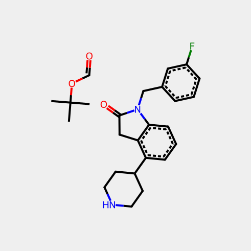 CC(C)(C)OC=O.O=C1Cc2c(C3CCNCC3)cccc2N1Cc1cccc(F)c1